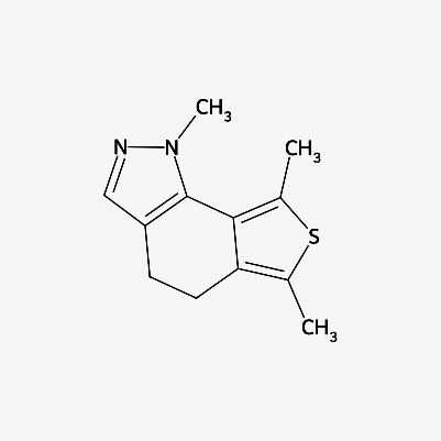 Cc1sc(C)c2c1CCc1cnn(C)c1-2